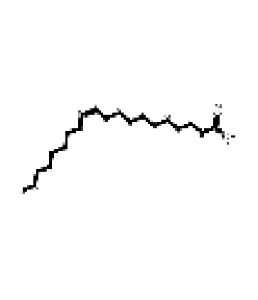 CCCCCCCC/C=C\CCCCCCCC[CH]C(=O)O